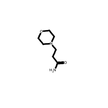 NC(=O)[CH]CN1CCOCC1